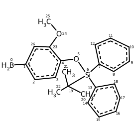 Bc1ccc(O[Si](c2ccccc2)(c2ccccc2)C(C)(C)C)c(OC)c1